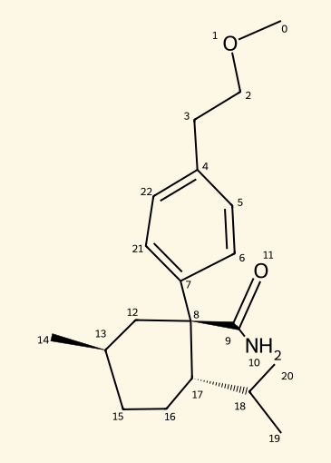 COCCc1ccc([C@@]2(C(N)=O)C[C@H](C)CC[C@H]2C(C)C)cc1